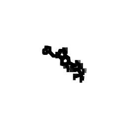 FC(F)(F)c1nnc(-c2cc3ncn(CC4CCO4)c3cn2)[nH]1